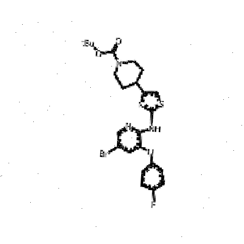 CC(C)(C)OC(=O)N1CCC(c2csc(Nc3ncc(Br)cc3Oc3ccc(F)cc3)n2)CC1